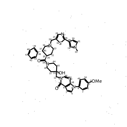 COc1ccc(-n2ccc3c(=O)n(CC4(O)CCN(C(=O)[C@@H]5CCN(Cc6cnc(-c7ccn(C)c7)s6)C[C@H]5c5ccccc5)CC4)cnc32)cc1